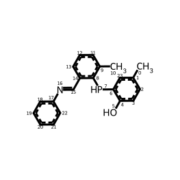 Cc1ccc(O)c(Pc2c(C)cccc2/C=N/c2ccccc2)c1